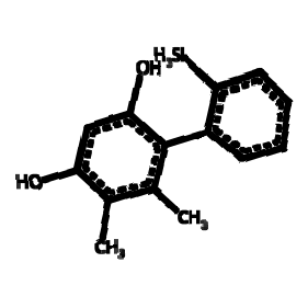 Cc1c(O)cc(O)c(-c2ccccc2[SiH3])c1C